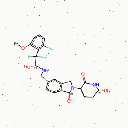 CCOc1cccc(F)c1C(F)(F)[C@@H](O)NCc1ccc2c(c1)CN(C1CC[C@@H](O)NC1=O)[C@H]2O